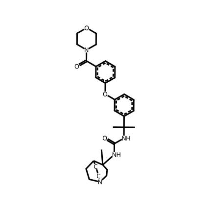 CC(C)(NC(=O)NC1(C)CCN2CCC1CC2)c1cccc(Oc2cccc(C(=O)N3CCOCC3)c2)c1